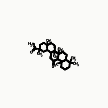 CC1(C(N)=O)CCC2(C)CCC3(C)C(=CC(=O)C4C5(C)CCCC(C)(C)C5CCC43C)C2C1